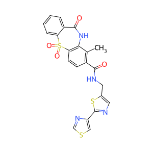 Cc1c(C(=O)NCc2cnc(-c3cscn3)s2)ccc2c1NC(=O)c1ccccc1S2(=O)=O